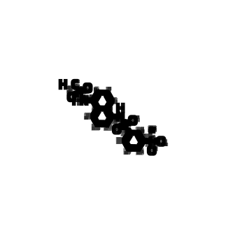 CS(=O)(=O)Nc1cccc2c(NS(=O)(=O)c3cccc(S(=O)(=O)F)c3)cccc12